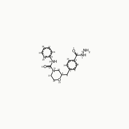 NNC(=O)c1ccc(CC2CN(C(=O)Nc3ccccn3)CCO2)cc1